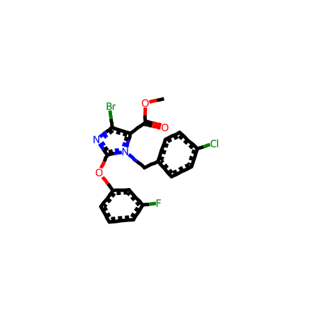 COC(=O)c1c(Br)nc(Oc2cccc(F)c2)n1Cc1ccc(Cl)cc1